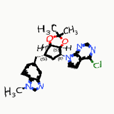 Cn1cnc2cc(C[C@H]3C[C@@H](n4ccc5c(Cl)ncnc54)[C@@H]4OC(C)(C)O[C@H]34)ccc21